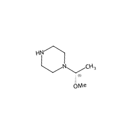 CO[C@@H](C)N1CCNCC1